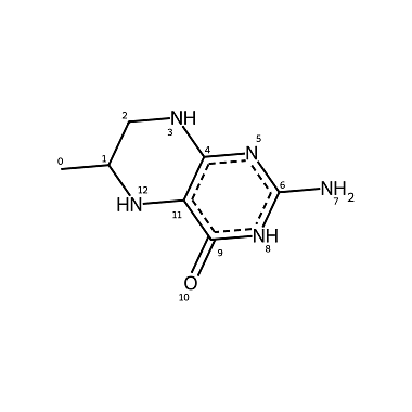 CC1CNc2nc(N)[nH]c(=O)c2N1